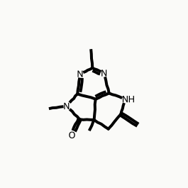 C=C1CC2(C)C(=O)N(C)c3nc(C)nc(c32)N1